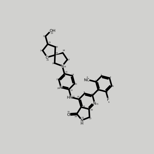 N#Cc1cccc(F)c1-c1cc(Nc2ccc(N3CC[C@@]4(CC(CO)CO4)C3)cn2)c2c(n1)CNC2=O